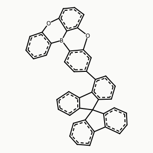 c1ccc2c(c1)Oc1cccc3c1B2c1ccc(-c2cccc4c2-c2ccccc2C42c4ccccc4-c4ccccc42)cc1O3